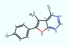 Cc1c(-c2ccc(Cl)cc2)oc2ncnc(Cl)c12